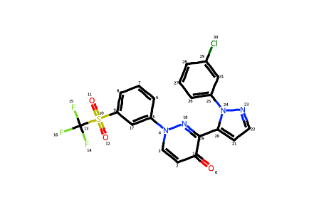 O=c1ccn(-c2cccc(S(=O)(=O)C(F)(F)F)c2)nc1-c1ccnn1-c1cccc(Cl)c1